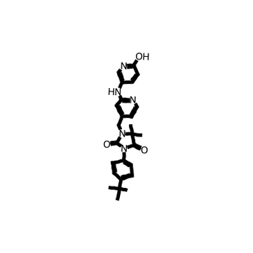 CC(C)(C)c1ccc(N2C(=O)N(Cc3ccnc(Nc4ccc(O)nc4)c3)C(C)(C)C2=O)cc1